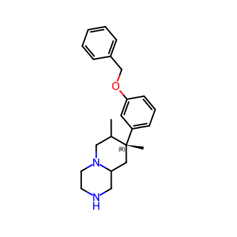 CC1CN2CCNCC2C[C@@]1(C)c1cccc(OCc2ccccc2)c1